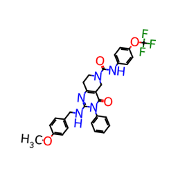 COc1ccc(CNc2nc3c(c(=O)n2-c2ccccc2)CN(C(=O)Nc2ccc(OC(F)(F)F)cc2)CC3)cc1